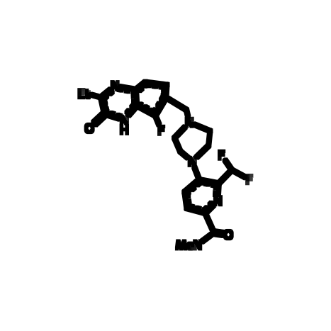 CCc1nc2ccc(CN3CCN(c4ccc(C(=O)NC)nc4C(F)F)CC3)c(F)c2[nH]c1=O